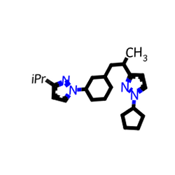 CC(C)c1ccn(C2CCCC(CC(C)c3ccn(C4CCCC4)n3)C2)n1